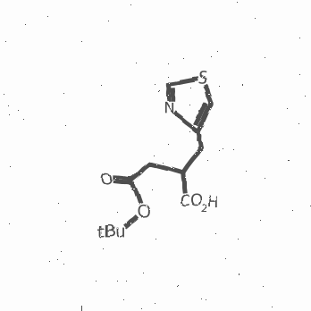 CC(C)(C)OC(=O)CC(Cc1cscn1)C(=O)O